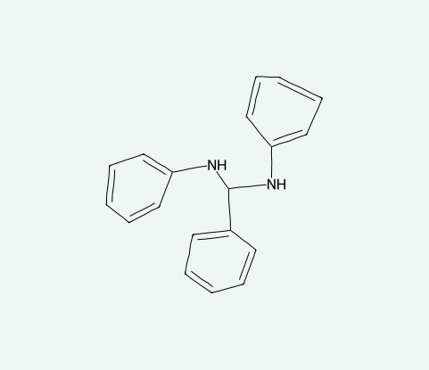 c1ccc(NC(Nc2ccccc2)c2ccccc2)cc1